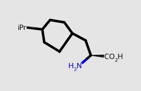 CC(C)C1CCC(C[C@H](N)C(=O)O)CC1